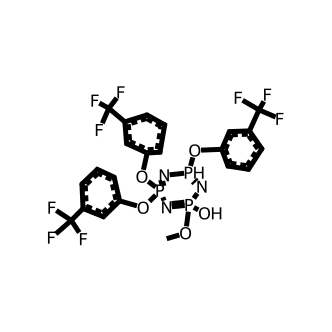 COP1(O)=NP(Oc2cccc(C(F)(F)F)c2)(Oc2cccc(C(F)(F)F)c2)=N[PH](Oc2cccc(C(F)(F)F)c2)=N1